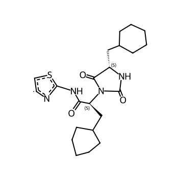 O=C(Nc1n[c]cs1)[C@H](CC1CCCCC1)N1C(=O)N[C@@H](CC2CCCCC2)C1=O